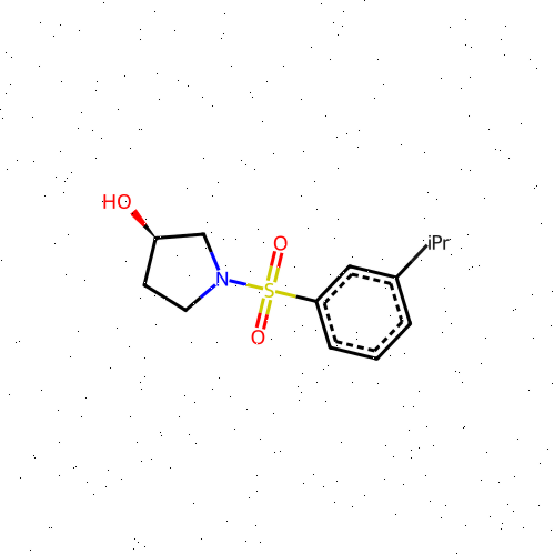 CC(C)c1cccc(S(=O)(=O)N2CC[C@@H](O)C2)c1